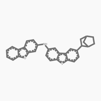 c1ccc2c(c1)oc1cc(Nc3ccc4sc5ccc(C6CC7CCC6C7)cc5c4c3)ccc12